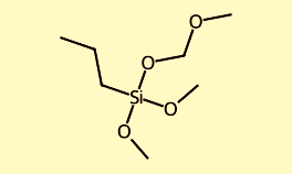 CCC[Si](OC)(OC)OCOC